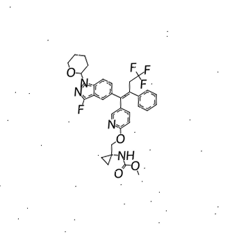 COC(=O)NC1(COc2ccc(/C(=C(/CC(F)(F)F)c3ccccc3)c3ccc4c(c3)c(F)nn4C3CCCCO3)cn2)CC1